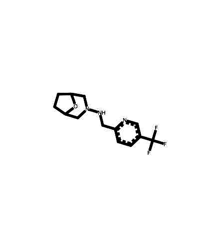 FC(F)(F)c1ccc(CNN2CC3CCC(C2)O3)nc1